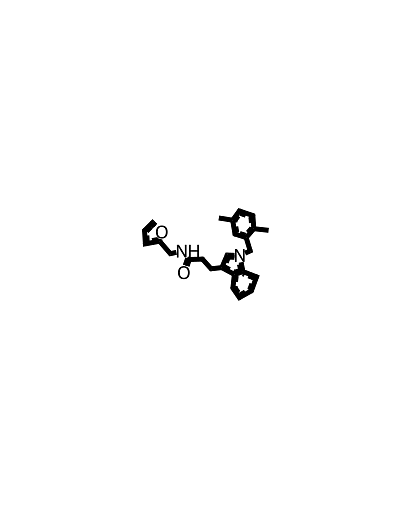 Cc1ccc(C)c(Cn2cc(CCC(=O)NCc3ccco3)c3ccccc32)c1